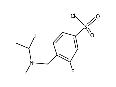 CC(I)N(C)Cc1ccc(S(=O)(=O)Cl)cc1F